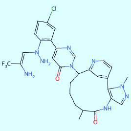 CC1CCCC(n2cnc(-c3cc(Cl)ccc3N(N)/C=C(\N)C(F)(F)F)cc2=O)c2cc(ccn2)-c2c(cnn2C)NC1=O